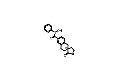 O=C(c1ccc2c(c1)CC[C@]1(CCNC1=O)C2)N(O)c1ccccn1